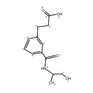 CC(CO)NC(=O)c1cccc(CCC(=O)O)c1